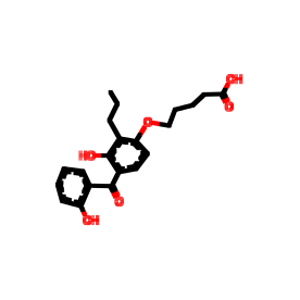 CCCc1c(OCCCCC(=O)O)ccc(C(=O)c2ccccc2O)c1O